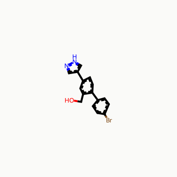 OCc1cc(-c2cn[nH]c2)ccc1-c1ccc(Br)cc1